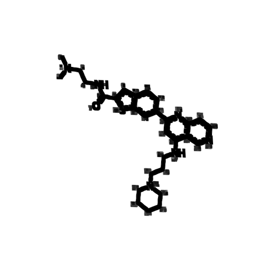 CN(C)CCNC(=O)c1cc2ccc(-c3cc(NCCCN4CCCCC4)c4cnccc4n3)cc2s1